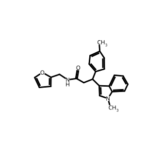 Cc1ccc(C(CC(=O)NCc2ccco2)c2cn(C)c3ccccc23)cc1